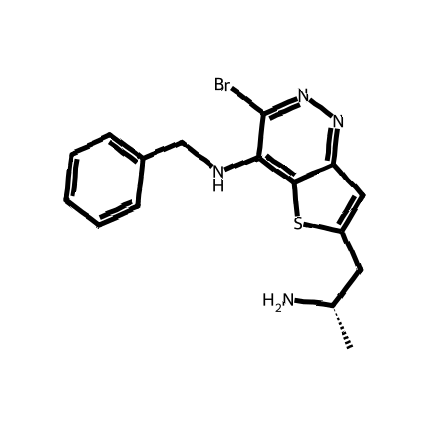 C[C@H](N)Cc1cc2nnc(Br)c(NCc3ccccc3)c2s1